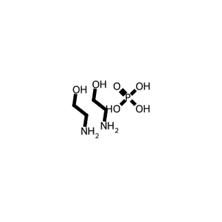 NCCO.NCCO.O=P(O)(O)O